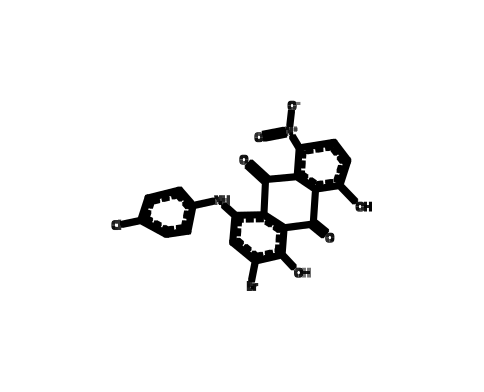 O=C1c2c(Nc3ccc(Cl)cc3)cc(Br)c(O)c2C(=O)c2c(O)ccc([N+](=O)[O-])c21